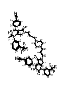 N#Cc1ccc([C@H]2NC(=O)N(c3cccc(C(F)(F)F)c3)C3=C2C(=O)N(CCCN2CCN(CCCN4CC5=C(C4=O)[C@@H](c4ccc(C#N)cc4)NC(=O)N5c4cccc(C(F)(F)F)c4)CC2)C3)cc1